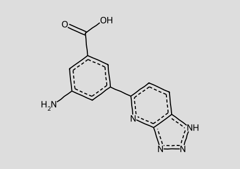 Nc1cc(C(=O)O)cc(-c2ccc3[nH]nnc3n2)c1